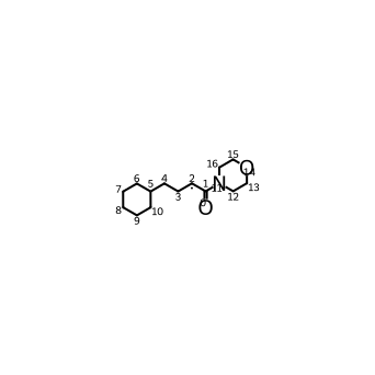 O=C([CH]CCC1CCCCC1)N1CCOCC1